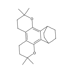 CC1(C)CCc2c3c(c4c(c2O1)C1CCC4CC1)OC(C)(C)CC3